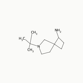 CC(C)(C)N1CCC2(CCC2N)C1